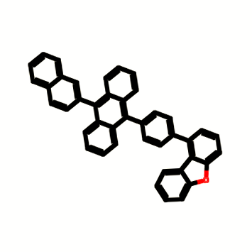 c1ccc2cc(-c3c4ccccc4c(-c4ccc(-c5cccc6oc7ccccc7c56)cc4)c4ccccc34)ccc2c1